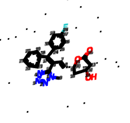 Cn1nnnc1C(C=C[C@H]1C[C@H](O)CC(=O)O1)=C(c1ccccc1)c1ccc(F)cc1